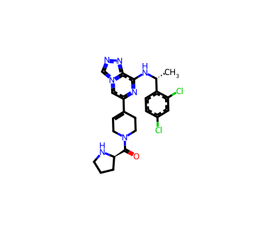 C[C@@H](Nc1nc(C2=CCN(C(=O)[C@H]3CCCN3)CC2)cn2cnnc12)c1ccc(Cl)cc1Cl